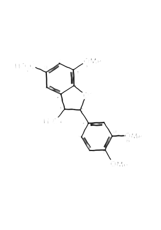 COc1ccc(C2Oc3c(OC)cc(C(=O)O)cc3C2C)cc1OC